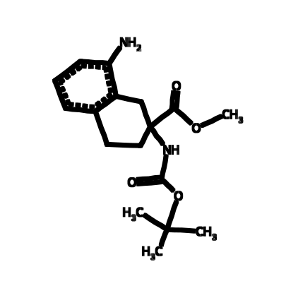 COC(=O)C1(NC(=O)OC(C)(C)C)CCc2cccc(N)c2C1